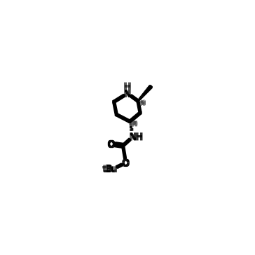 C[C@H]1C[C@H](NC(=O)OC(C)(C)C)CCN1